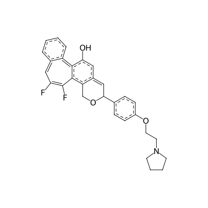 Oc1cc2c(c3c1=c1ccccc1=CC(F)=C3F)COC(c1ccc(OCCN3CCCC3)cc1)C=2